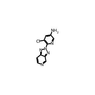 Nc1cnc(-n2nc3ccncc3n2)c(Cl)c1